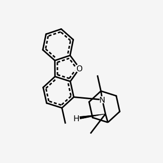 Cc1ccc2c(oc3ccccc32)c1N1[C@@H](C)C2CCC1(C)CC2